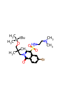 CN(C)CCNS(=O)(=O)c1cn(CC(C)(C)CO[Si](C)(C)C(C)(C)C)c(=O)c2ccc(Br)cc12